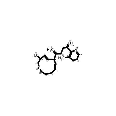 C=C(CCC(=C)C1/C=C\CCCCCC(CC)/C=C/1)C1=C(C)CCC=N1